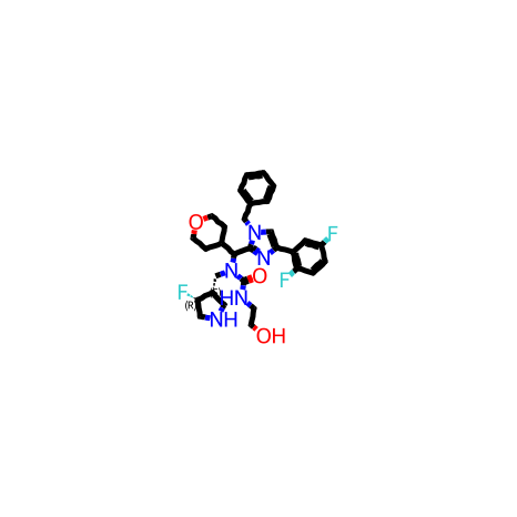 O=C(NCCO)N(C[C@@H]1CNC[C@@H]1F)C(c1nc(-c2cc(F)ccc2F)cn1Cc1ccccc1)C1CCOCC1